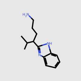 CC(C)C(CCCN)c1nc2ccccc2[nH]1